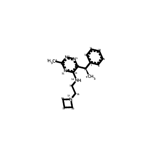 Cc1nnc([C@H](C)c2ccccc2)c(NCCN2CCC2)n1